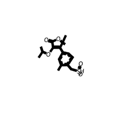 Cc1cc(C2=C(OC(C)C)C(=O)OC2(C)C)ccc1C[SH](=O)=O